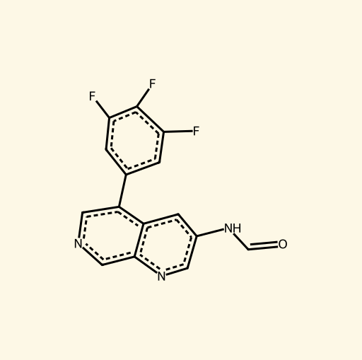 O=CNc1cnc2cncc(-c3cc(F)c(F)c(F)c3)c2c1